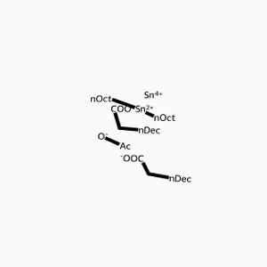 CC(=O)[O-].CCCCCCCCCCCC(=O)[O-].CCCCCCCCCCCC(=O)[O-].CCCCCCC[CH2][Sn+2][CH2]CCCCCCC.[Sn+4]